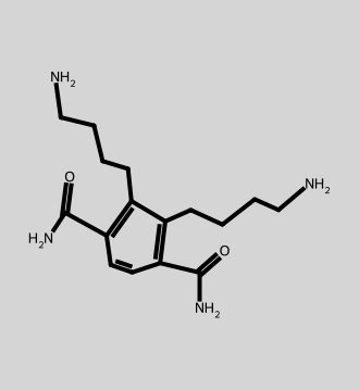 NCCCCc1c(C(N)=O)ccc(C(N)=O)c1CCCCN